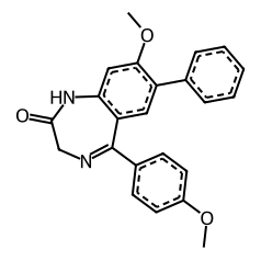 COc1ccc(C2=NCC(=O)Nc3cc(OC)c(-c4ccccc4)cc32)cc1